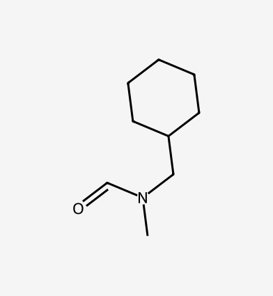 CN(C=O)CC1CCCCC1